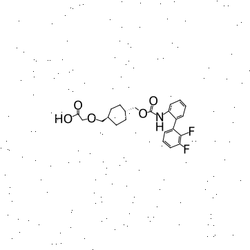 O=C(O)COC[C@H]1CC[C@H](COC(=O)Nc2ccccc2-c2cccc(F)c2F)CC1